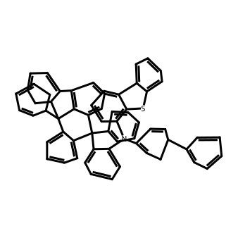 C1=CCC(C23c4ccccc4C(c4ccccc4)(c4ccccc4N(C4=CCC(c5ccccc5)C=C4)c4cccc5c4sc4ccccc45)c4cccc(c42)C2=CC=CCC23)C=C1